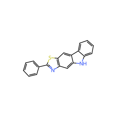 c1ccc(-c2nc3cc4[nH]c5ccccc5c4cc3s2)cc1